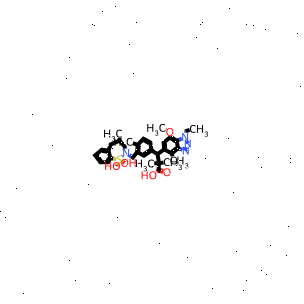 CCn1nnc2c(C)c(C(c3ccc(C)c(CN4CC(C)Cc5ccccc5S4(O)O)c3)C(C)(C)C(=O)O)cc(OC)c21